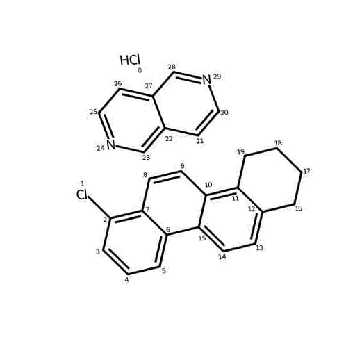 Cl.Clc1cccc2c1ccc1c3c(ccc12)CCCC3.c1cc2cnccc2cn1